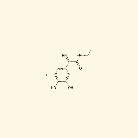 CCNC(=O)C(=N)c1cc(O)c(O)c(F)c1